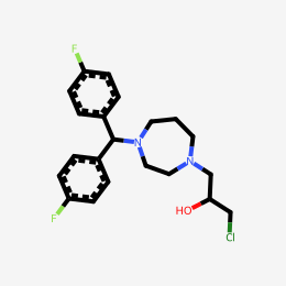 OC(CCl)CN1CCCN(C(c2ccc(F)cc2)c2ccc(F)cc2)CC1